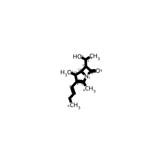 CC/C=C/C1=C(C)N2C(=O)C(C(C)O)C2C1C